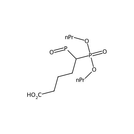 CCCOP(=O)(OCCC)C(CCCC(=O)O)P=O